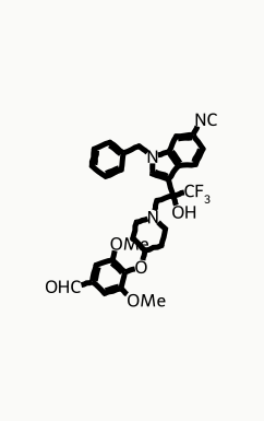 [C-]#[N+]c1ccc2c(C(O)(CN3CCC(Oc4c(OC)cc(C=O)cc4OC)CC3)C(F)(F)F)cn(Cc3ccccc3)c2c1